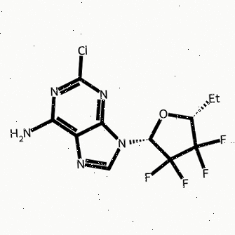 CC[C@H]1O[C@@H](n2cnc3c(N)nc(Cl)nc32)C(F)(F)C1(F)F